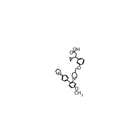 COc1ccc(-c2ccc(N3CCCC3)cc2)c(N2CCC(COc3cccc(C(CC(=O)O)C4CC4)c3)CC2)c1